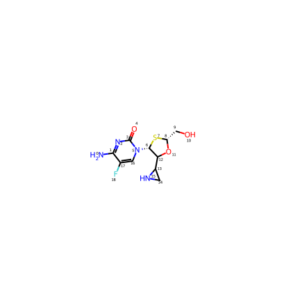 Nc1nc(=O)n([C@@H]2S[C@H](CO)OC2C2CN2)cc1F